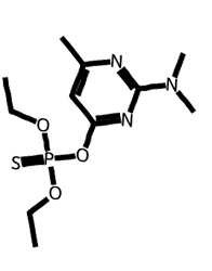 CCOP(=S)(OCC)Oc1cc(C)nc(N(C)C)n1